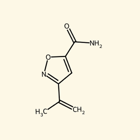 C=C(C)c1cc(C(N)=O)on1